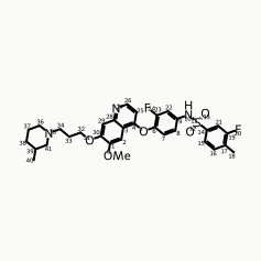 COc1cc2c(Oc3ccc(NS(=O)(=O)c4ccc(C)c(F)c4)cc3F)ccnc2cc1OCCCN1CCCC(C)C1